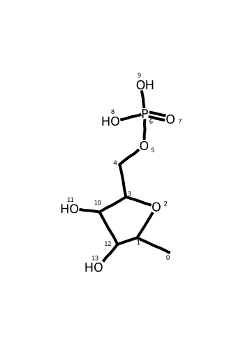 CC1OC(COP(=O)(O)O)C(O)C1O